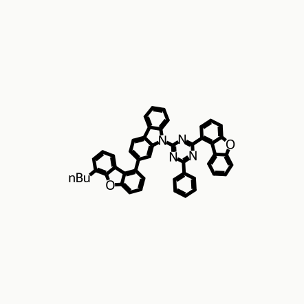 CCCCc1cccc2c1oc1cccc(-c3ccc4c5ccccc5n(-c5nc(-c6ccccc6)nc(-c6cccc7oc8ccccc8c67)n5)c4c3)c12